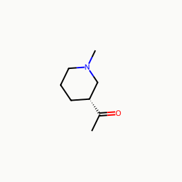 CC(=O)[C@@H]1CCCN(C)C1